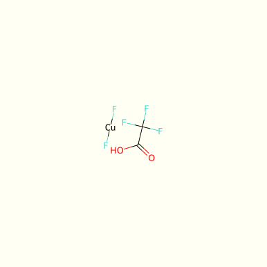 O=C(O)C(F)(F)F.[F][Cu][F]